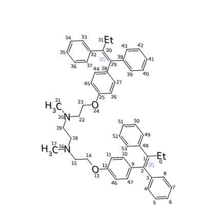 CC/C(=C(\c1ccccc1)c1ccc(OCCN(C)CCN(C)CCOc2ccc(/C(=C(/CC)c3ccccc3)c3ccccc3)cc2)cc1)c1ccccc1